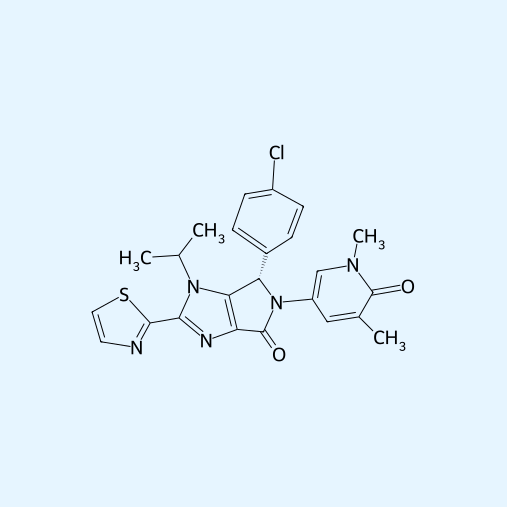 Cc1cc(N2C(=O)c3nc(-c4nccs4)n(C(C)C)c3[C@@H]2c2ccc(Cl)cc2)cn(C)c1=O